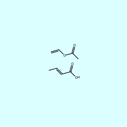 C/C=C/C(=O)O.C=COC(C)=O